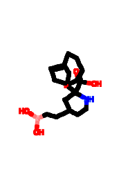 O=C(O)C1(CC/C2=C\CCCCCC2)CC(CCB(O)O)CCN1